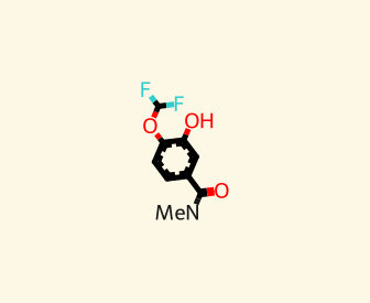 CNC(=O)c1ccc(OC(F)F)c(O)c1